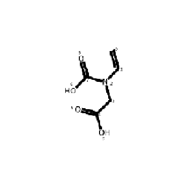 C=CN(CC(=O)O)C(=O)O